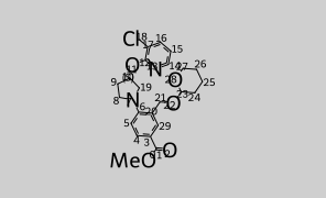 COC(=O)c1ccc(N2CC[C@H](Oc3ncccc3Cl)C2)c(COC2CCCCO2)c1